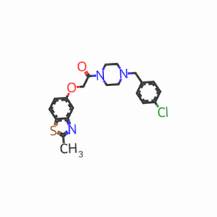 Cc1nc2cc(OCC(=O)N3CCN(Cc4ccc(Cl)cc4)CC3)ccc2s1